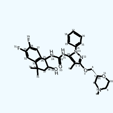 Cc1c(OC[C@H]2CN(C)CCO2)nn(-c2ccccc2)c1NC(=O)NC1c2cc(F)c(F)cc2C(C)(C)CC1O